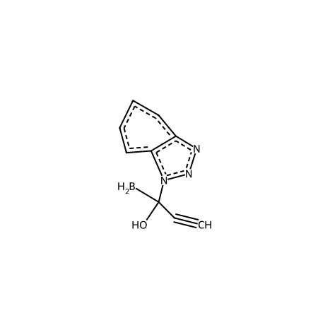 BC(O)(C#C)n1nnc2ccccc21